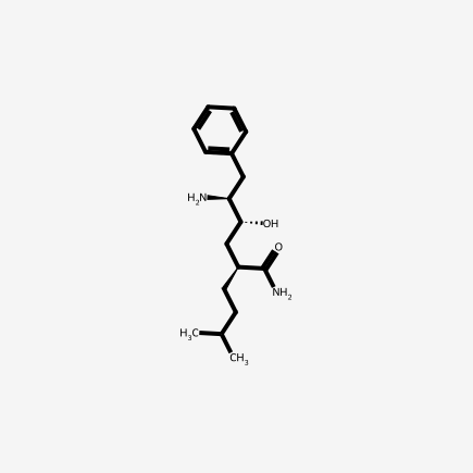 CC(C)CC[C@@H](C[C@@H](O)[C@@H](N)Cc1ccccc1)C(N)=O